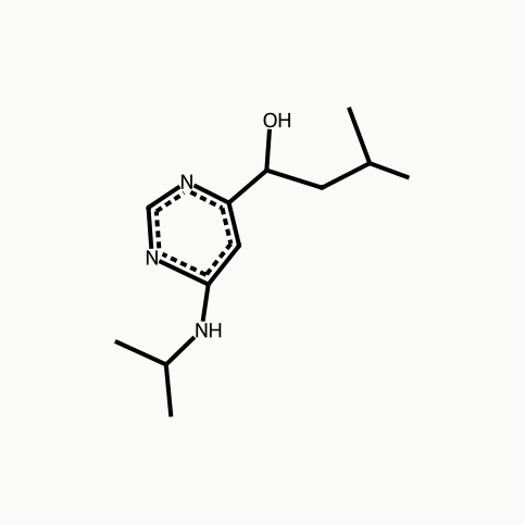 CC(C)CC(O)c1cc(NC(C)C)ncn1